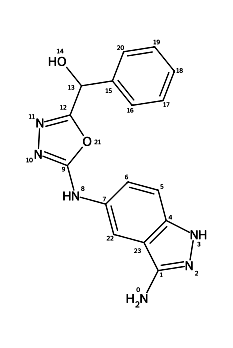 Nc1n[nH]c2ccc(Nc3nnc(C(O)c4ccccc4)o3)cc12